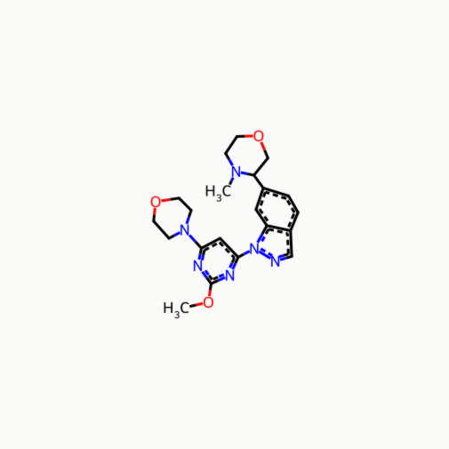 COc1nc(N2CCOCC2)cc(-n2ncc3ccc(C4COCCN4C)cc32)n1